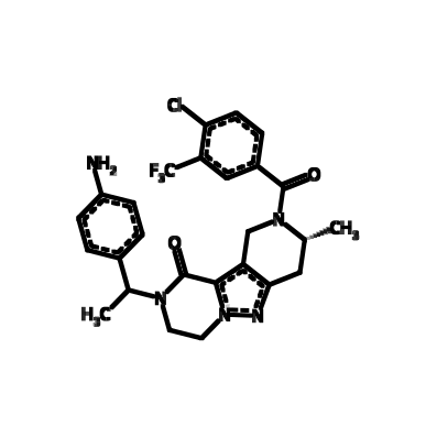 CC(c1ccc(N)cc1)N1CCn2nc3c(c2C1=O)CN(C(=O)c1ccc(Cl)c(C(F)(F)F)c1)[C@H](C)C3